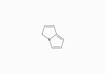 [c]1cc2n(c1)CC=C2